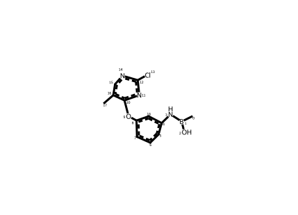 CB(O)Nc1cccc(Oc2nc(Cl)ncc2C)c1